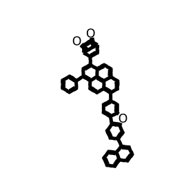 O=C1C(=O)C2C=CC1C=C2c1cc(-c2ccccc2)c2ccc3c(-c4ccc5c(c4)oc4cc(-c6cccc7ccccc67)ccc45)ccc4ccc1c2c43